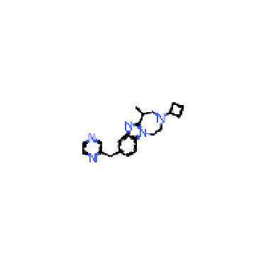 CC1CN(C2CCC2)CCn2c1nc1cc(Cc3cnccn3)ccc12